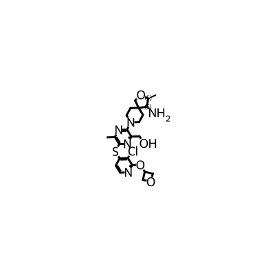 Cc1nc(N2CCC3(CC2)CO[C@@H](C)[C@H]3N)c(CO)nc1Sc1ccnc(OC2COC2)c1Cl